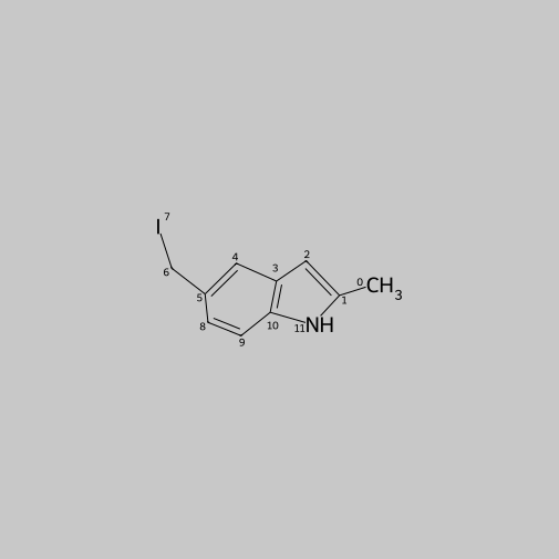 Cc1cc2cc(CI)ccc2[nH]1